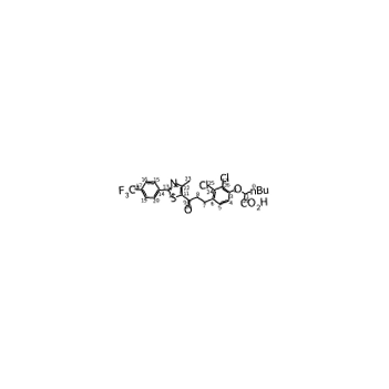 CCCCC(Oc1ccc(CCC(=O)c2sc(-c3ccc(C(F)(F)F)cc3)nc2C)c(Cl)c1Cl)C(=O)O